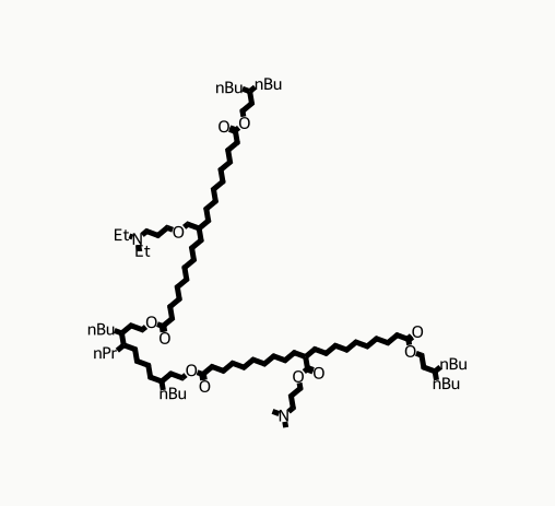 CCCCC(CCCC)CCOC(=O)CCCCCCCCCC(CCCCCCCCCC(=O)OCCC(CCCC)C(CCC)CCCCC(CCCC)CCOC(=O)CCCCCCCCCC(CCCCCCCCCC(=O)OCCC(CCCC)CCCC)C(=O)OCCCN(C)C)COCCCN(CC)CC